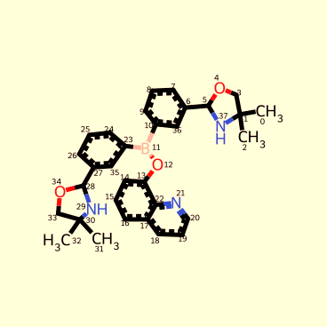 CC1(C)COC(c2cccc(B(Oc3cccc4cccnc34)c3cccc(C4NC(C)(C)CO4)c3)c2)N1